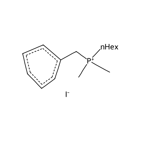 CCCCCC[P+](C)(C)Cc1ccccc1.[I-]